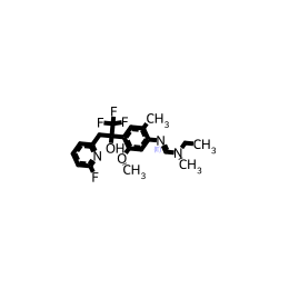 CCN(C)/C=N/c1cc(OC)c(C(O)(Cc2cccc(F)n2)C(F)(F)F)cc1C